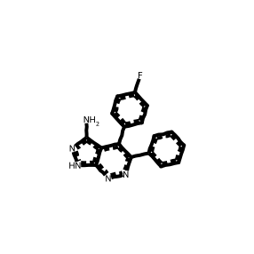 Nc1n[nH]c2nnc(-c3ccccc3)c(-c3ccc(F)cc3)c12